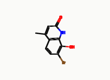 Cc1cc(=O)[nH]c2c(O)c(Br)ccc12